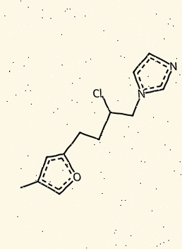 Cc1coc(CCC(Cl)Cn2ccnc2)c1